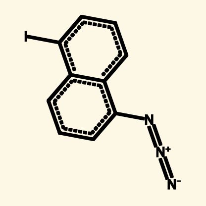 [N-]=[N+]=Nc1cccc2c(I)cccc12